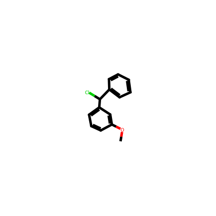 COc1cccc(C(Cl)c2cc[c]cc2)c1